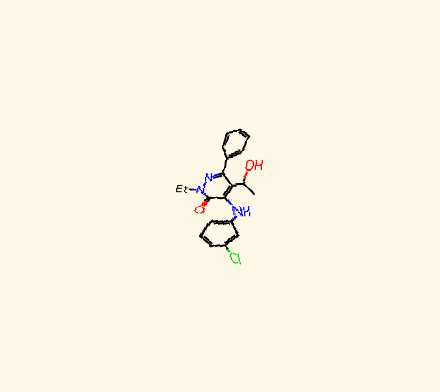 CCn1nc(-c2ccccc2)c(C(C)O)c(Nc2cccc(Cl)c2)c1=O